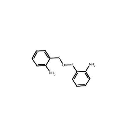 Nc1ccccc1SOSc1ccccc1N